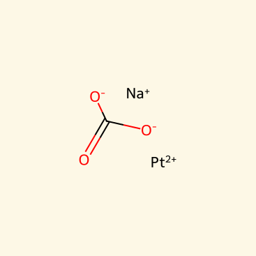 O=C([O-])[O-].[Na+].[Pt+2]